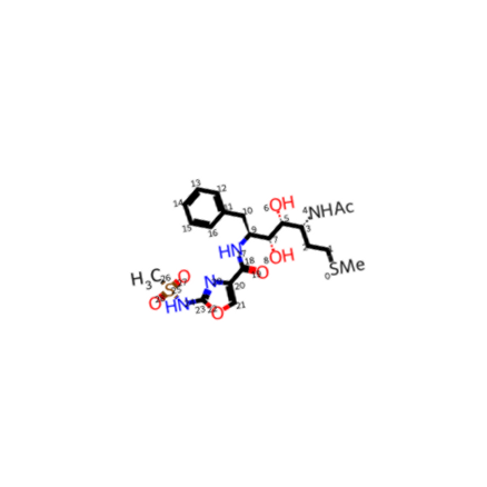 CSCC[C@@H](NC(C)=O)[C@@H](O)[C@H](O)[C@H](Cc1ccccc1)NC(=O)c1coc(NS(C)(=O)=O)n1